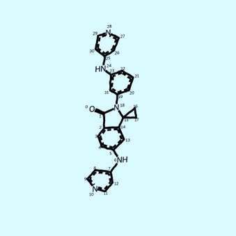 O=C1c2ccc(Nc3ccncc3)cc2C2(CC2)N1c1cccc(Nc2ccncc2)c1